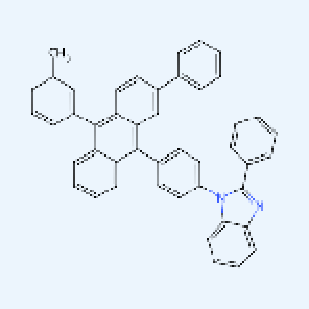 CC1C=C(c2c3ccccc3c(-c3ccc(-n4c(-c5ccccc5)nc5ccccc54)cc3)c3cc(-c4ccccc4)ccc23)C=CC1